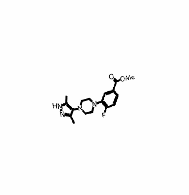 COC(=O)c1ccc(F)c(N2CCN(c3c(C)n[nH]c3C)CC2)c1